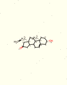 C=C[C@H]1C(=O)CC2C3CC=C4C[C@@H](O)CC[C@]4(C)C3CC[C@@]21C